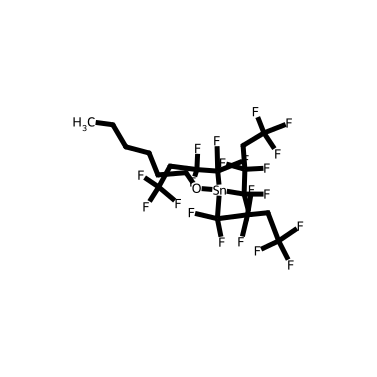 CCCCCC[O][Sn]([C](F)(F)C(F)(F)CC(F)(F)F)([C](F)(F)C(F)(F)CC(F)(F)F)[C](F)(F)C(F)(F)CC(F)(F)F